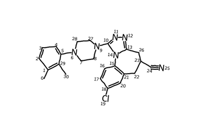 Cc1cccc(N2CCN(c3nnc4n3-c3ccc(Cl)cc3CC(C#N)C4)CC2)c1C